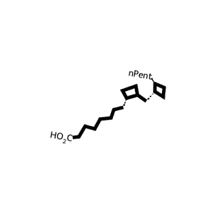 CCCCC[C@@H]1CC[C@@H]1CC1CC[C@H]1CCCCCCCC(=O)O